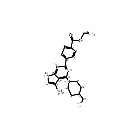 CCOC(=O)c1ccc(-c2nc(N3CCC(CO)CC3)c3c(N)c[nH]c3n2)cc1